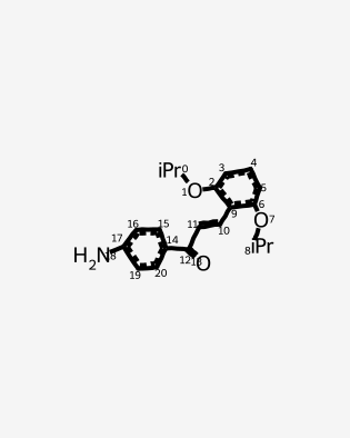 CC(C)Oc1cccc(OC(C)C)c1C=CC(=O)c1ccc(N)cc1